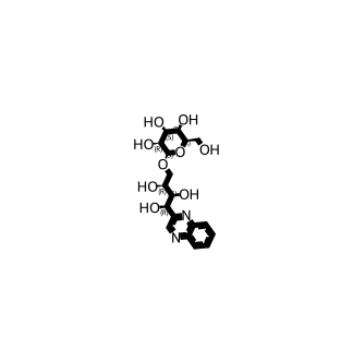 OC[C@H]1O[C@H](OC[C@@H](O)[C@@H](O)[C@H](O)c2cnc3ccccc3n2)[C@H](O)[C@@H](O)[C@H]1O